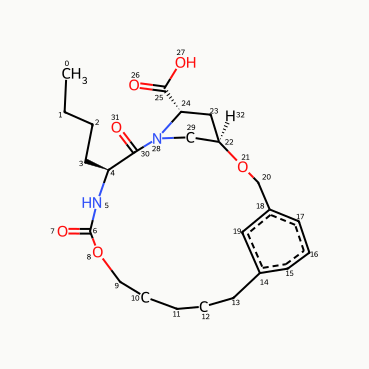 CCCC[C@@H]1NC(=O)OCCCCCc2cccc(c2)CO[C@@H]2C[C@@H](C(=O)O)N(C2)C1=O